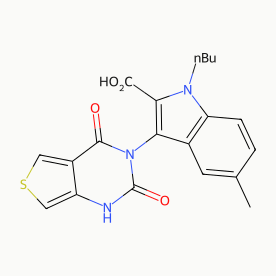 CCCCn1c(C(=O)O)c(-n2c(=O)[nH]c3cscc3c2=O)c2cc(C)ccc21